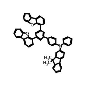 CC1(C)c2ccccc2-c2ccc(N(c3ccccc3)c3ccc(-c4cc(-c5cccc6c5oc5ccccc56)cc(-c5cccc6c5oc5ccccc56)c4)cc3)cc21